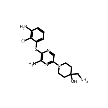 NCC1(O)CCN(c2cnc(Sc3cccc(N)c3Cl)c(N)n2)CC1